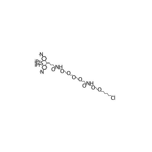 CC(C)S1(C(C)C)c2cc(N(C)C)ccc2C(=CCCC(=O)NCCOCCOCCOCCOCCC(=O)NCCOCCOCCCCCCCl)c2ccc(N(C)C)cc21